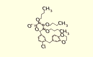 CCCCO[C@H]1[C@H](OCCCC)[C@@H](OCCCC)C(c2ccc(Cl)c(Cc3ccc4c(c3)OCCO4)c2)O[C@@H]1C=O